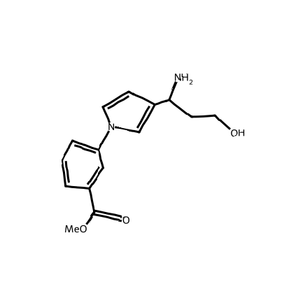 COC(=O)c1cccc(-n2ccc(C(N)CCO)c2)c1